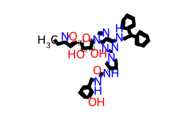 CCc1cc([C@H]2O[C@@H](n3cnc4c(NCC(c5ccccc5)c5ccccc5)nc(N5CC[C@@H](NC(=O)NCc6cccc(O)c6)C5)nc43)[C@@H](O)[C@@H]2O)on1